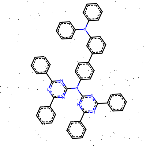 c1ccc(-c2nc(-c3ccccc3)nc(N(c3ccc(-c4cccc(N(c5ccccc5)c5ccccc5)c4)cc3)c3nc(-c4ccccc4)nc(-c4ccccc4)n3)n2)cc1